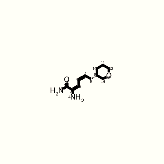 NC(=O)/C(N)=C\C=C/C[C@@H]1CCCOC1